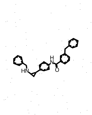 O=C(Nc1ccc(C2CC2NCc2ccccc2)cc1)c1cccc(Cc2ccccc2)c1